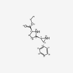 CCOC(=O)[C@@H]1CSC([C@H]2N[C@@H]2c2ccccc2)N1